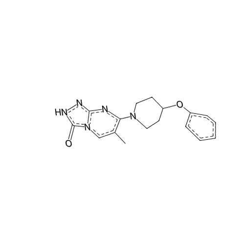 Cc1cn2c(=O)[nH]nc2nc1N1CCC(Oc2ccccc2)CC1